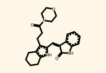 O=C1Nc2ccccc2C1=Cc1[nH]c2c(c1CCC(=O)N1CCOCC1)CCCC2